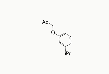 CC(=O)COc1cccc(C(C)C)c1